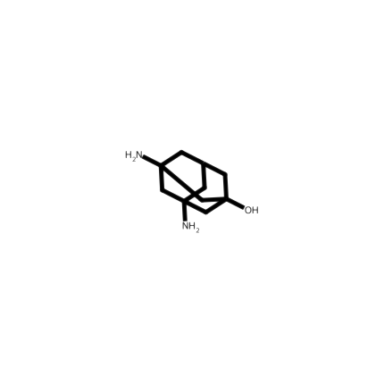 NC12CC3CC(N)(C1)CC(O)(C3)C2